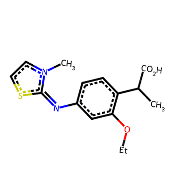 CCOc1cc(N=c2sccn2C)ccc1C(C)C(=O)O